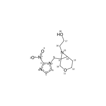 O=[N+]([O-])c1nccn1CC12COCCC1N2CCO